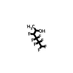 CC(O)C(F)C(F)(F)C(F)(F)C(F)F